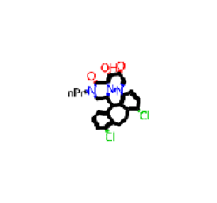 CCCN1CC(C2c3cccc(Cl)c3CCc3c(Cl)cccc32)n2ncc(=O)c(O)c2C1=O